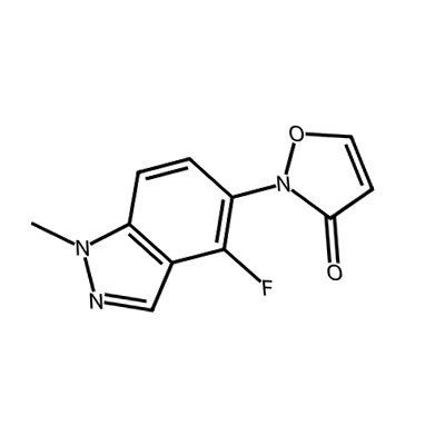 Cn1ncc2c(F)c(-n3occc3=O)ccc21